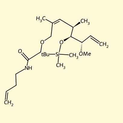 C=CCCNC(=O)COC/C(C)=C\[C@@H](C)[C@H](O[Si](C)(C)C(C)(C)C)[C@H](C=C)OC